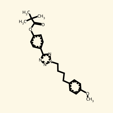 COc1ccc(CCCCn2nnc(-c3ccc(OC(=O)C(C)(C)C)cc3)n2)cc1